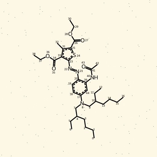 CCCCC(CC)CN(CC(CC)CCCC)c1ccc(N=Nc2sc(C(=O)OCC)c(C)c2C(=O)OCC)c(NC(C)=O)c1